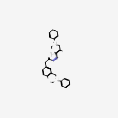 C=C(/C=C\C1=C(C)CN(C2=CCCC=C2)CO1)Cc1ccc2c(c1)CN(c1ccccc1)CO2